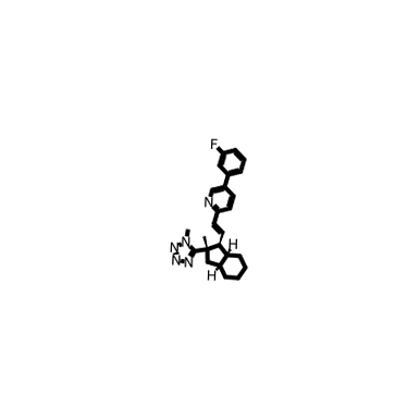 Cn1nnnc1[C@@]1(C)C[C@H]2CCCC[C@H]2[C@@H]1/C=C/c1ccc(-c2cccc(F)c2)cn1